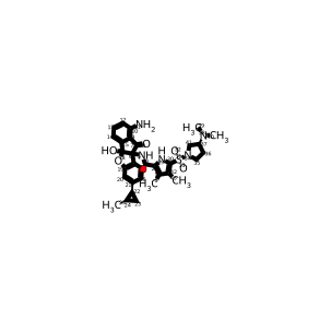 Cc1c(C(=O)NC23C(=O)c4c(N)cccc4C2(O)Oc2cc([C@H]4C[C@@H]4C)ccc23)[nH]c(S(=O)(=O)N2CC[C@H](N(C)C)C2)c1C